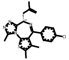 C=C(C)C[C@@H]1N=C(c2ccc(Cl)cc2)c2c(sc(C)c2C)-n2c(C)nnc21